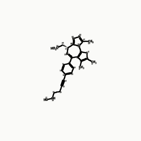 Cc1sc2c(c1C)C(c1ccc(C#CCCNO)cc1)=N[C@H](CC(=O)O)c1nnc(C)n1-2